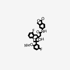 COc1ccc(F)cc1C(C)(C)CC(O)(CC(=O)Nc1ccc2c(c1)COC2=O)Cc1c(F)cccc1Cl